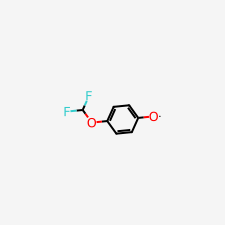 [O]c1ccc(OC(F)F)cc1